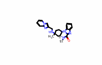 CCN(C(=O)c1nc2ccccc2[nH]1)[C@H]1CCCC(C)(NCc2cn3ccccc3n2)C1